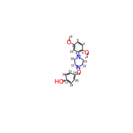 COc1ccc(OC)c(N2CCN(Oc3ccc(O)cc3)CC2)c1